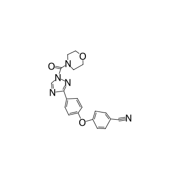 N#Cc1ccc(Oc2ccc(-c3ncn(C(=O)N4CCOCC4)n3)cc2)cc1